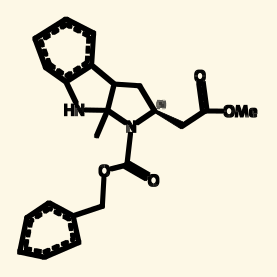 COC(=O)C[C@@H]1CC2c3ccccc3NC2(C)N1C(=O)OCc1ccccc1